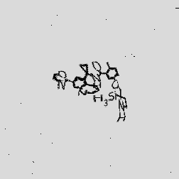 Cc1ccc(OCC2([SiH3])CCN2)cc1C(=O)NC1(c2cc(-c3ncco3)cc3ncccc23)CC1